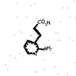 Nc1ncccc1C=CC(=O)O